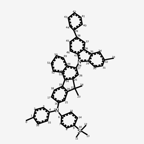 Cc1ccc(N(c2ccc([Si](C)(C)C)cc2)c2ccc3c(c2)C(C)(C)c2cc(-n4c5ccc(C)cc5c5cc(-c6ccccc6)ccc54)c4ccccc4c2-3)cc1